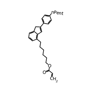 C=CC(=O)OCCCCCCc1cccc2c1C=C(c1ccc(CCCCC)cc1)C2